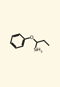 CCC([SiH3])Oc1ccccc1